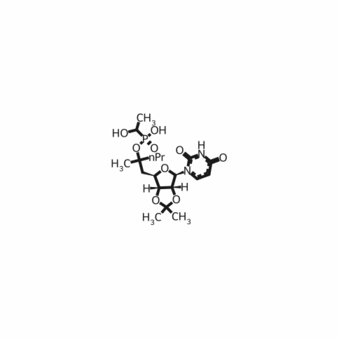 CCCC(C)(C[C@H]1O[C@@H](n2ccc(=O)[nH]c2=O)[C@@H]2OC(C)(C)O[C@@H]21)OP(=O)(O)C(C)O